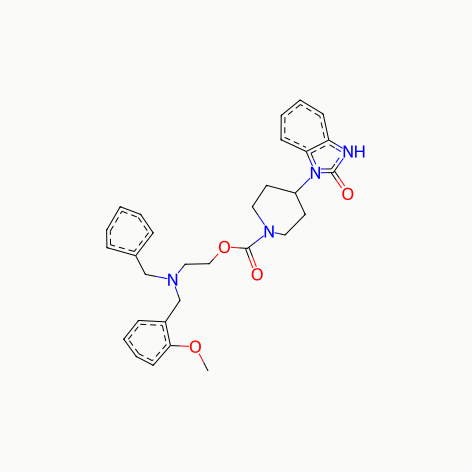 COc1ccccc1CN(CCOC(=O)N1CCC(n2c(=O)[nH]c3ccccc32)CC1)Cc1ccccc1